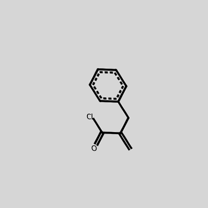 C=C(Cc1ccccc1)C(=O)Cl